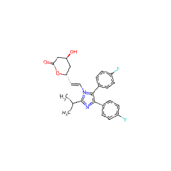 CC(C)c1nc(-c2ccc(F)cc2)c(-c2ccc(F)cc2)n1C=C[C@H]1C[C@H](O)CC(=O)O1